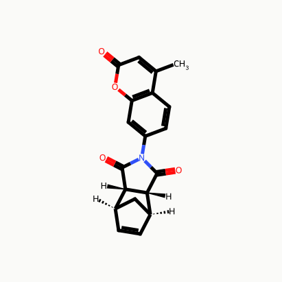 Cc1cc(=O)oc2cc(N3C(=O)[C@@H]4[C@H](C3=O)[C@H]3C=C[C@@H]4C3)ccc12